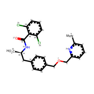 CNc1cccc(COCc2ccc(C[C@H](NC(=O)c3c(Cl)cccc3Cl)C(=O)O)cc2)n1